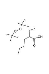 CC(C)(C)OOC(C)(C)C.CCCCC(CC)C(=O)O